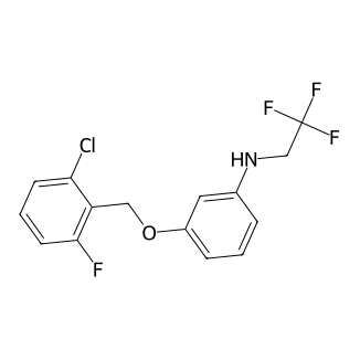 Fc1cccc(Cl)c1COc1cccc(NCC(F)(F)F)c1